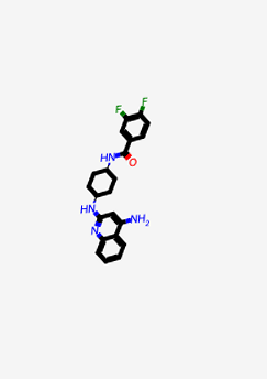 Nc1cc(N[C@H]2CC[C@@H](NC(=O)c3ccc(F)c(F)c3)CC2)nc2ccccc12